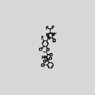 CC(Oc1cc(-n2nc(C(F)F)n(C)c2=O)c(F)cc1Cl)C(=O)NS(=O)(=O)c1ccccc1Cl